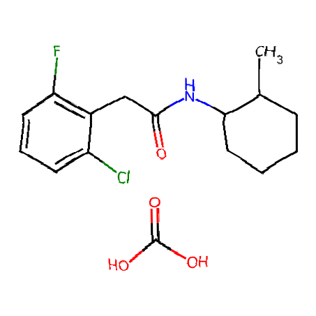 CC1CCCCC1NC(=O)Cc1c(F)cccc1Cl.O=C(O)O